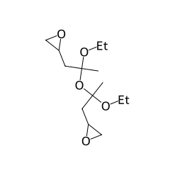 CCOC(C)(CC1CO1)OC(C)(CC1CO1)OCC